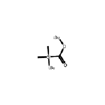 CC(C)(C)OC(=O)[Si](C)(C)C(C)(C)C